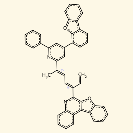 C=C/C(=C\C=C(/C)c1cc(-c2cccc3c2oc2ccccc23)cc(-c2ccccc2)n1)c1nc2ccccc2c2c1oc1ccccc12